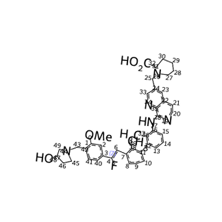 COc1cc(/C(F)=C/c2cccc(-c3cccc(Nc4nccc5cc(CN6CCCCC6C(=O)O)cnc45)c3C)c2C)ccc1CN1CCC(O)C1